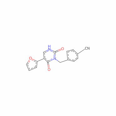 N#Cc1ccc(Cn2c(=O)[nH]cc(-c3ccco3)c2=O)cc1